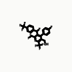 OCc1c(C(F)(F)F)nc(C(F)F)c(C(F)c2ccc(C(F)(F)F)cc2)c1-c1ccc(F)cc1